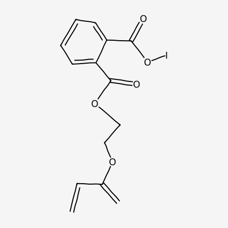 C=CC(=C)OCCOC(=O)c1ccccc1C(=O)OI